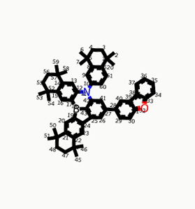 CC1(C)CCC(C)(C)c2cc(N3c4cc5c(cc4B4c6cc7c(cc6-c6cc(-c8ccc9oc%10ccccc%10c9c8)cc3c64)C(C)(C)CCC7(C)C)C(C)(C)CCC5(C)C)ccc21